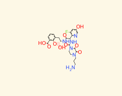 NCCCN1CCN(C(=O)NC(C(=O)NC2Cc3cccc(C(=O)O)c3OB2O)c2ncc(O)cc2F)C(=O)C1=O